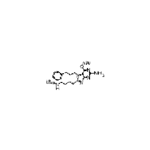 CCCCOc1nc(N)nc2nc(CCCCNC(C)(C)C)n(CCCc3ccccc3)c12